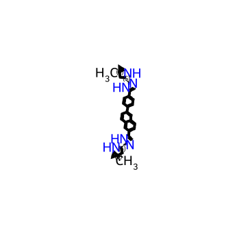 C[C@@]12CC1N[C@H](c1ncc(-c3ccc(-c4ccc5cc(-c6cnc([C@@H]7C[C@]8(C)CC8N7)[nH]6)ccc5c4)cc3)[nH]1)C2